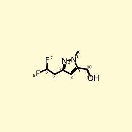 Cn1nc(CC(F)F)cc1CO